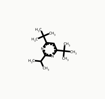 CC(C)c1nc(C(C)(C)C)cc(C(C)(C)C)n1